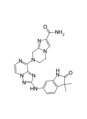 CC1(C)C(=O)Nc2cc(Nc3nc4c(N5CCn6cc(C(N)=O)nc6C5)nccn4n3)ccc21